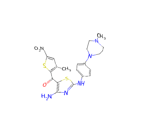 Cc1cc([N+](=O)[O-])sc1C(=O)c1sc(Nc2ccc(N3CCN(C)CC3)cc2)nc1N